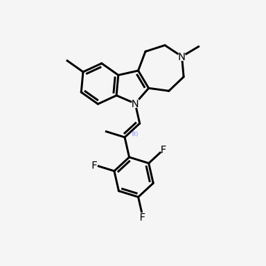 C/C(=C\n1c2c(c3cc(C)ccc31)CCN(C)CC2)c1c(F)cc(F)cc1F